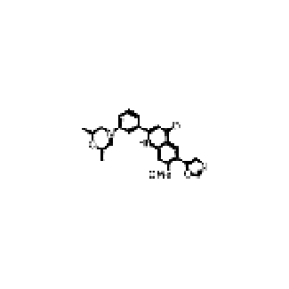 COc1cc2[nH]c(-c3cccc(N4CC(C)OC(C)C4)c3)cc(=O)c2cc1-c1cnco1